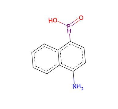 Nc1ccc([PH](=O)O)c2ccccc12